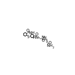 NC(=O)CSc1nnc(CCNC(=O)c2ccc3c(c2)NC(=O)c2ccccc2S3)o1